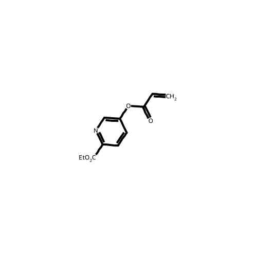 C=CC(=O)Oc1ccc(C(=O)OCC)nc1